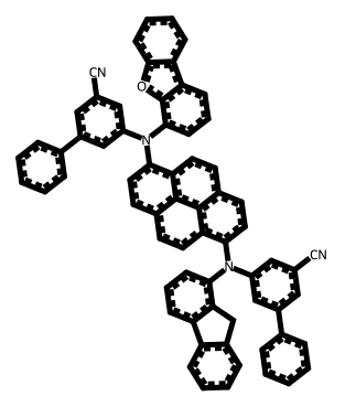 N#Cc1cc(-c2ccccc2)cc(N(c2cccc3c2Cc2ccccc2-3)c2ccc3ccc4c(N(c5cc(C#N)cc(-c6ccccc6)c5)c5cccc6c5oc5ccccc56)ccc5ccc2c3c54)c1